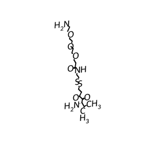 CC(C)[C@H](N)C(=O)C(=O)CCSSCCNC(=O)CCOCCOCCOCCN